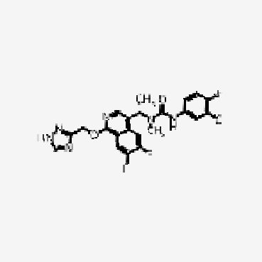 C[C@@H](c1cnc(OCc2nc[nH]n2)c2cc(F)c(F)cc12)N(C)C(=O)Nc1ccc(F)c(Cl)c1